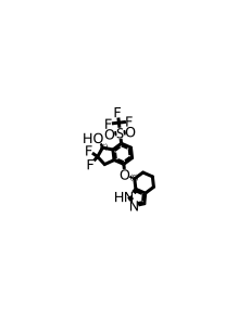 O=S(=O)(c1ccc(O[C@H]2CCCc3cn[nH]c32)c2c1[C@H](O)C(F)(F)C2)C(F)(F)F